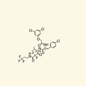 CC(C)[C@H](NC(=O)[C@H](Cc1ccc(Cl)cc1)NC(=O)COc1cc(Cl)cc(Cl)c1)C(=O)C(F)(F)C(=O)NCCC(F)(F)F